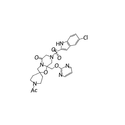 CC(=O)N1CCC2(CC1)CN1C(=O)CN(S(=O)(=O)c3cc4cc(Cl)ccc4[nH]3)CC1(COc1ncccn1)O2